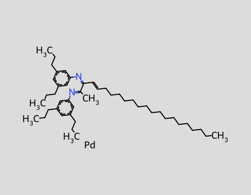 CCCCCCCCCCCCCCCCCC=CC(=Nc1cc(CCC)cc(CCC)c1)C(C)=Nc1cc(CCC)cc(CCC)c1.[Pd]